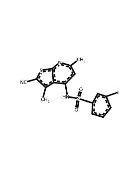 Cc1cc(NS(=O)(=O)c2cccc(I)c2)c2c(C)c(C#N)sc2n1